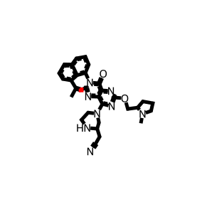 C=C(C)c1cccc2cccc(-n3c(C)nc4c(N5CCNC(CC#N)C5)nc(OCC5CCCN5C)nc4c3=O)c12